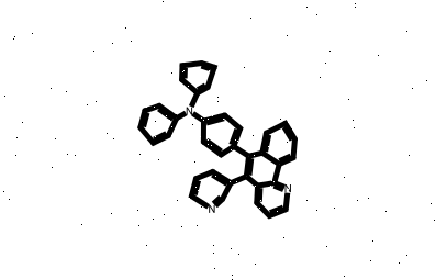 c1ccc(N(c2ccccc2)c2ccc(-c3c(-c4cccnc4)c4cccnc4c4ccccc34)cc2)cc1